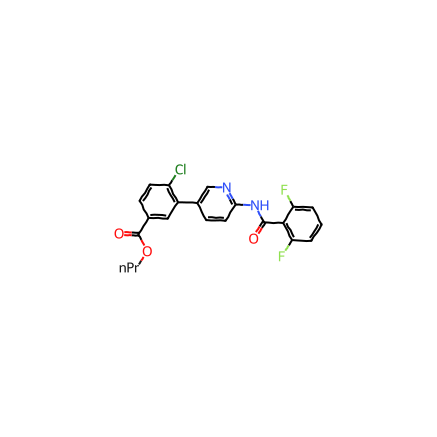 CCCOC(=O)c1ccc(Cl)c(-c2ccc(NC(=O)c3c(F)cccc3F)nc2)c1